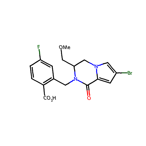 COCC1Cn2cc(Br)cc2C(=O)N1Cc1cc(F)ccc1C(=O)O